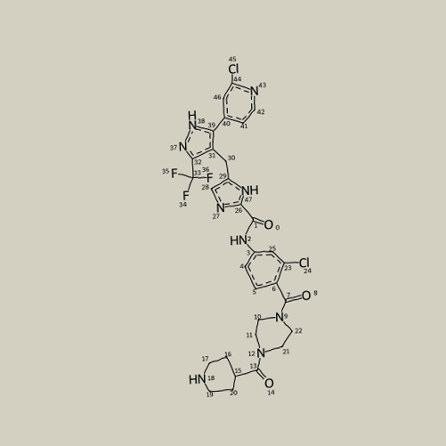 O=C(Nc1ccc(C(=O)N2CCN(C(=O)C3CCNCC3)CC2)c(Cl)c1)c1ncc(Cc2c(C(F)(F)F)n[nH]c2-c2ccnc(Cl)c2)[nH]1